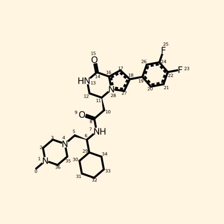 CN1CCN(C[C@@H](NC(=O)C[C@H]2CNC(=O)c3cc(-c4ccc(F)c(F)c4)cn32)C2CCCCC2)CC1